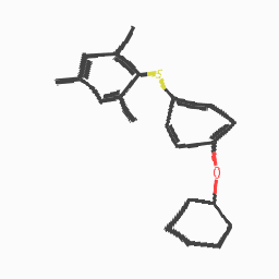 Cc1cc(C)c(Sc2ccc(OC3CCCCC3)cc2)c(C)c1